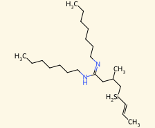 CC=C[SiH2]CC(C)CC(=NCCCCCCC)NCCCCCCC